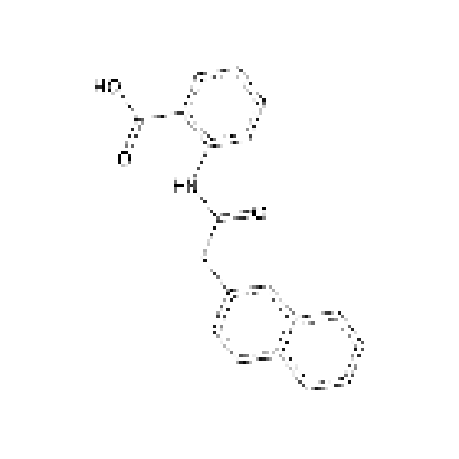 O=C(Cc1ccc2ccccc2c1)Nc1ccccc1C(=O)O